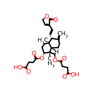 C=C1CC[C@@H]2[C@](C)(COC(=O)CCC(=O)O)[C@H](OC(=O)CCC(=O)O)CC[C@@]2(C)[C@@H]1/C=C/C1=CCOC1=O